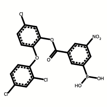 O=C(Oc1cc(Cl)ccc1Oc1ccc(Cl)cc1Cl)c1cc(B(O)O)cc([N+](=O)[O-])c1